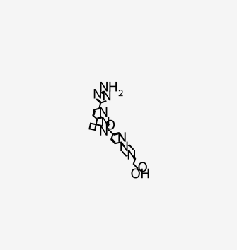 Nc1ncc(-c2ccc(C3(c4noc(-c5ccc(N6CCN(CCC(=O)O)CC6)nc5)n4)CCC3)cn2)cn1